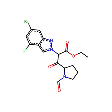 CCOC(=O)C(C(=O)C1CCCN1C=O)n1cc2c(F)cc(Br)cc2n1